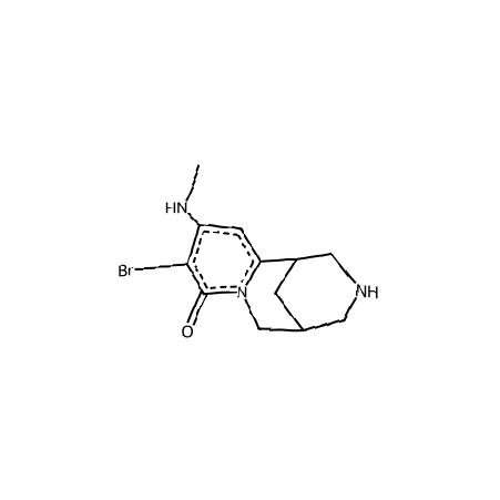 CNc1cc2n(c(=O)c1Br)CC1CNCC2C1